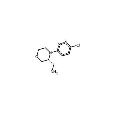 NC[C@@H]1COCCN1c1ccc(Cl)nn1